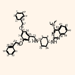 CN(C)c1nc(N[C@H]2CC[C@@H](NCc3cc(OCc4ccccc4)cc(OCc4ccccc4)c3)CC2)nc2ccccc12